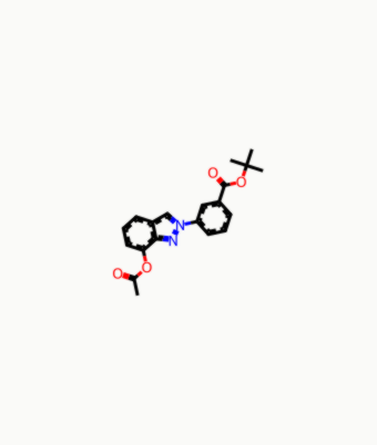 CC(=O)Oc1cccc2cn(-c3cccc(C(=O)OC(C)(C)C)c3)nc12